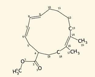 COC(=O)C1C/C=C\C=C\CCCC/C(C)=C(/C)CC1